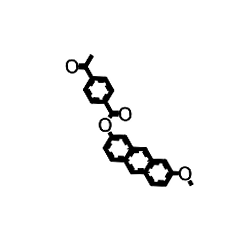 COc1ccc2cc3ccc(OC(=O)c4ccc(C(C)=O)cc4)cc3cc2c1